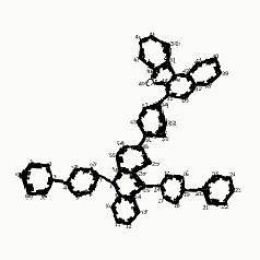 c1ccc(-c2ccc(-c3c4ccccc4c(-c4ccc(-c5ccccc5)cc4)c4cc(-c5ccc(-c6cc7ccccc7c7c6oc6ccccc67)cc5)ccc34)cc2)cc1